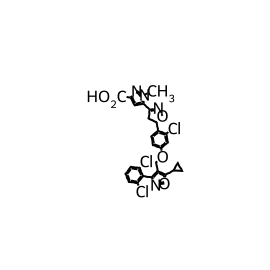 Cn1nc(C(=O)O)cc1C1=NOC(c2ccc(OCc3c(-c4c(Cl)cccc4Cl)noc3C3CC3)cc2Cl)C1